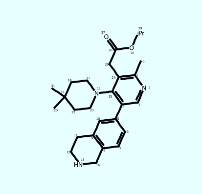 Cc1ncc(-c2ccc3c(c2)CCNC3)c(N2CCC(C)(C)CC2)c1CC(=O)OC(C)C